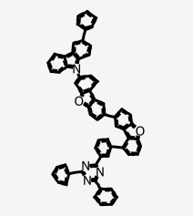 c1ccc(-c2ccc3c(c2)c2ccccc2n3-c2ccc3c(c2)oc2ccc(-c4ccc5oc6cccc(-c7cccc(-c8nc(-c9ccccc9)nc(-c9ccccc9)n8)c7)c6c5c4)cc23)cc1